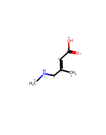 CNCC(C)=CC(=O)O